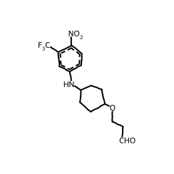 O=CCCOC1CCC(Nc2ccc([N+](=O)[O-])c(C(F)(F)F)c2)CC1